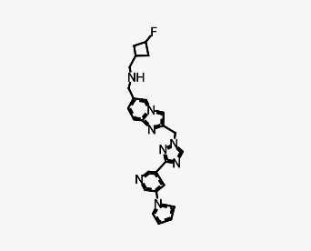 FC1CC(CNCc2ccc3nc(Cn4cnc(-c5cncc(-n6cccc6)c5)n4)cn3c2)C1